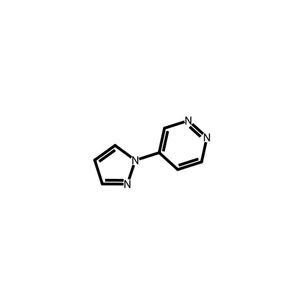 c1cnn(-c2ccnnc2)c1